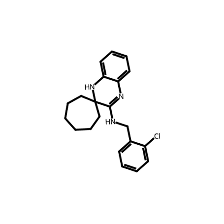 Clc1ccccc1CNC1=Nc2ccccc2NC12CCCCCC2